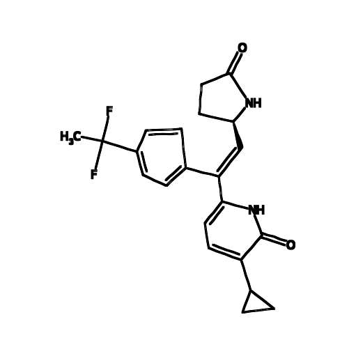 CC(F)(F)c1ccc(/C(=C\[C@H]2CCC(=O)N2)c2ccc(C3CC3)c(=O)[nH]2)cc1